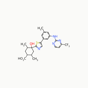 Cc1cc(Nc2nccc(C(F)(F)F)n2)cc(-c2cnc(C3(O)CC(C)C(C(=O)O)CC3C)s2)c1